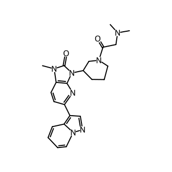 CN(C)CC(=O)N1CCCC(n2c(=O)n(C)c3ccc(-c4cnn5ccccc45)nc32)C1